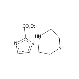 C1CNCCN1.CCOC(=O)c1nccs1